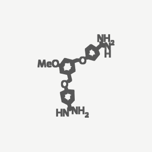 COc1cc(COc2ccc(C(=N)N)cc2)cc(COc2ccc(C(=N)N)cc2)c1